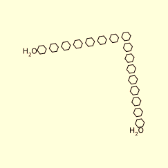 C1CCCCC1.C1CCCCC1.C1CCCCC1.C1CCCCC1.C1CCCCC1.C1CCCCC1.C1CCCCC1.C1CCCCC1.C1CCCCC1.C1CCCCC1.C1CCCCC1.C1CCCCC1.C1CCCCC1.C1CCCCC1.C1CCCCC1.C1CCCCC1.O.O